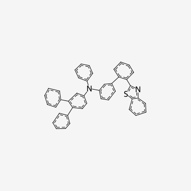 c1ccc(-c2ccc(N(c3ccccc3)c3cccc(-c4ccccc4-c4nc5ccccc5s4)c3)cc2-c2ccccc2)cc1